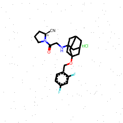 Cl.N#C[C@@H]1CCCN1C(=O)CNC12CC3CC(C1)CC(OCc1ccc(F)cc1F)(C3)C2